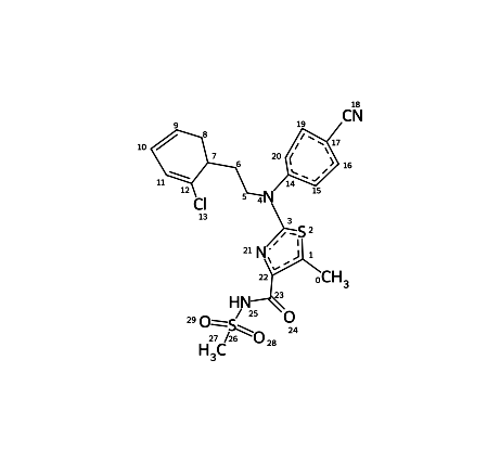 Cc1sc(N(CCC2CC=CC=C2Cl)c2ccc(C#N)cc2)nc1C(=O)NS(C)(=O)=O